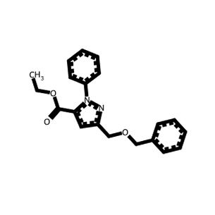 CCOC(=O)c1cc(COCc2ccccc2)nn1-c1ccccc1